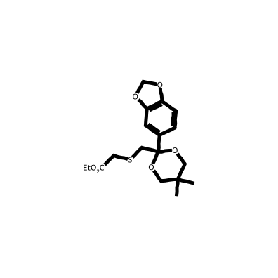 CCOC(=O)CSCC1(c2ccc3c(c2)OCO3)OCC(C)(C)CO1